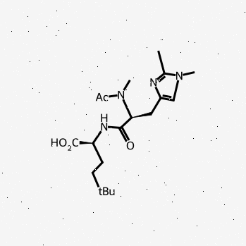 CC(=O)N(C)[C@@H](Cc1cn(C)c(C)n1)C(=O)N[C@@H](CCC(C)(C)C)C(=O)O